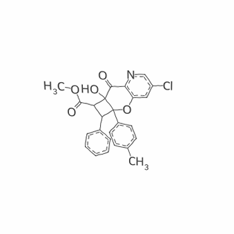 COC(=O)C1C(c2ccccc2)C2(c3ccc(C)cc3)Oc3cc(Cl)cnc3C(=O)C12O